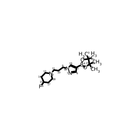 CC1(C)OB(c2cnn(CCCN3CCC(F)CC3)c2)OC1(C)C